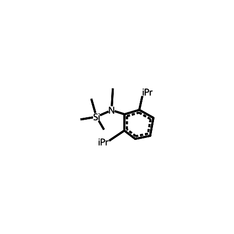 CC(C)c1cccc(C(C)C)c1N(C)[Si](C)(C)C